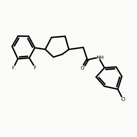 O=C(CC1CCC(c2cccc(F)c2F)CC1)Nc1ccc(Cl)cc1